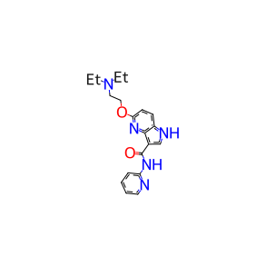 CCN(CC)CCOc1ccc2[nH]cc(C(=O)Nc3ccccn3)c2n1